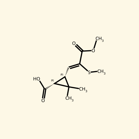 COC(=O)C(=C[C@H]1[C@@H](C(=O)O)C1(C)C)SC